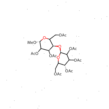 CO[C@@H]1OC(COC(C)=O)[C@@H](O[C@@H]2OC(COC(C)=O)[C@@H](OC(C)=O)C(OC(C)=O)C2OC(C)=O)C(OC(C)=O)C1OC(C)=O